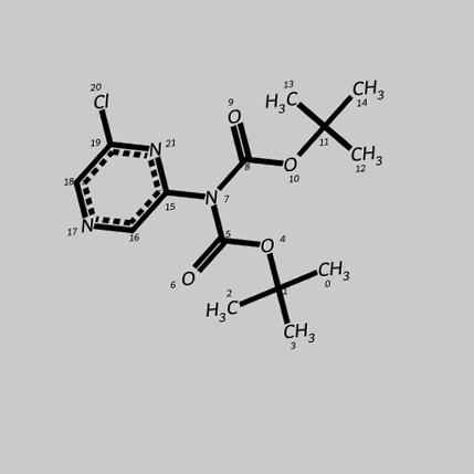 CC(C)(C)OC(=O)N(C(=O)OC(C)(C)C)c1cncc(Cl)n1